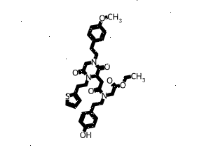 CCOC(=O)CN(CCc1ccc(O)cc1)C(=O)CC1C(=O)N(CCc2ccc(OC)cc2)CC(=O)N1CCc1cccs1